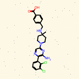 CC1(NCc2ccc(C(=O)O)cc2)CCN(c2cnc(-c3cccc(Cl)c3Cl)c(N)n2)CC1